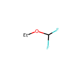 CCOC(F)F